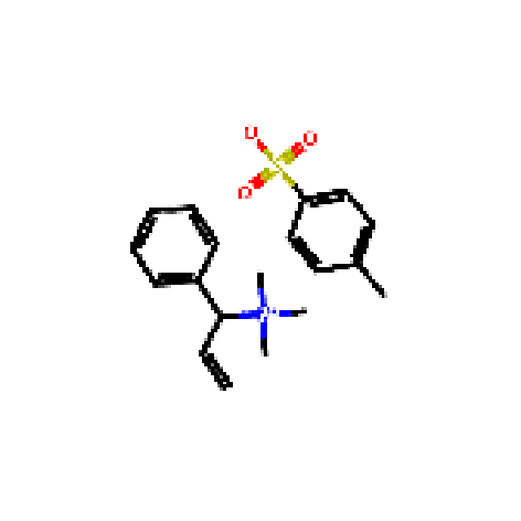 C=CC(c1ccccc1)[N+](C)(C)C.Cc1ccc(S(=O)(=O)[O-])cc1